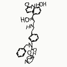 O=C(O[C@H]1CN2CCC1CC2)N(Cc1ccccc1)c1cccc(CCNC[C@H](O)c2ccc(O)c3[nH]c(=O)ccc23)c1